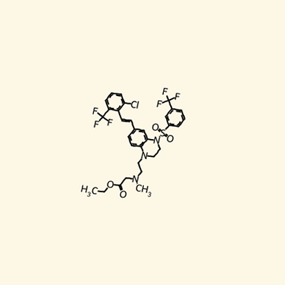 CCOC(=O)CN(C)CCN1CCN(S(=O)(=O)c2cccc(C(F)(F)F)c2)c2cc(/C=C/c3c(Cl)cccc3C(F)(F)F)ccc21